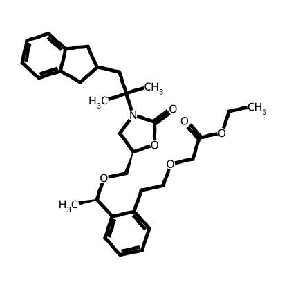 CCOC(=O)COCCc1ccccc1[C@@H](C)OC[C@H]1CN(C(C)(C)CC2Cc3ccccc3C2)C(=O)O1